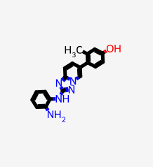 Cc1cc(O)ccc1-c1ccc2nc(Nc3ccccc3N)nn2c1